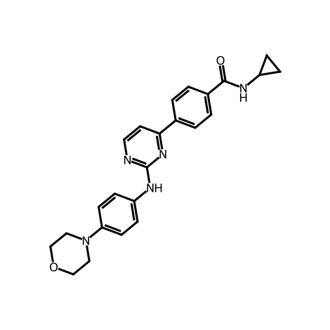 O=C(NC1CC1)c1ccc(-c2ccnc(Nc3ccc(N4CCOCC4)cc3)n2)cc1